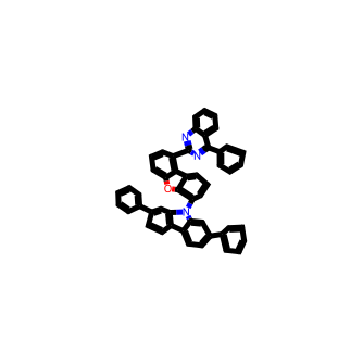 c1ccc(-c2ccc3c4ccc(-c5ccccc5)cc4n(-c4cccc5c4oc4cccc(-c6nc(-c7ccccc7)c7ccccc7n6)c45)c3c2)cc1